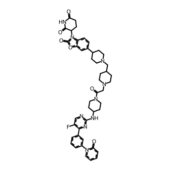 O=C1CCC(n2c(=O)oc3cc(C4CCN(CC5CCN(CC(=O)N6CCC(Nc7ncc(F)c(-c8cccc(-n9ccccc9=O)c8)n7)CC6)CC5)CC4)ccc32)C(=O)N1